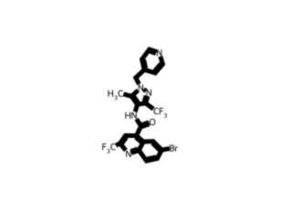 Cc1c(NC(=O)c2cc(C(F)(F)F)nc3ccc(Br)cc23)c(C(F)(F)F)nn1Cc1ccncc1